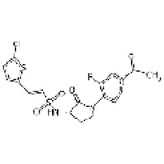 CC(=O)c1ccc(N2CC[C@H](NS(=O)(=O)/C=C/c3ccc(Cl)s3)C2=O)c(F)c1